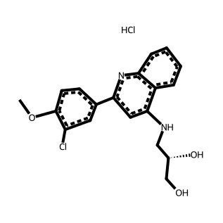 COc1ccc(-c2cc(NC[C@H](O)CO)c3ccccc3n2)cc1Cl.Cl